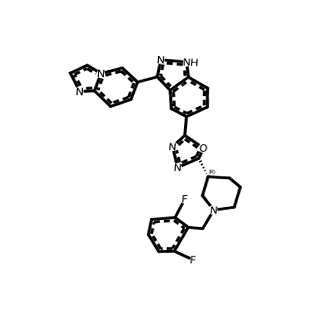 Fc1cccc(F)c1CN1CCC[C@@H](c2nnc(-c3ccc4[nH]nc(-c5ccc6nccn6c5)c4c3)o2)C1